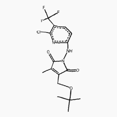 CC1=C(COC(C)(C)C)C(=O)N(Nc2ccc(C(F)(F)F)c(Cl)n2)C1=O